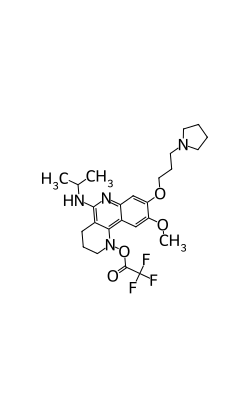 COc1cc2c3c(c(NC(C)C)nc2cc1OCCCN1CCCC1)CCCN3OC(=O)C(F)(F)F